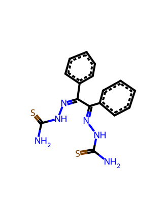 NC(=S)N/N=C(\C(=N\NC(N)=S)c1ccccc1)c1ccccc1